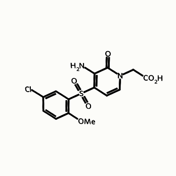 COc1ccc(Cl)cc1S(=O)(=O)c1ccn(CC(=O)O)c(=O)c1N